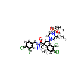 CC1CN(CCC(C)(C(=O)NCc2ccc(Cl)c(F)c2)c2ccc(Cl)c(Cl)c2)CCN1S(C)(=O)=O